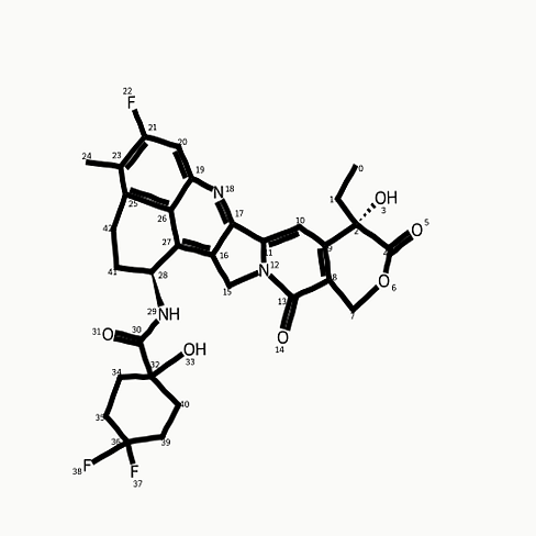 CC[C@@]1(O)C(=O)OCc2c1cc1n(c2=O)Cc2c-1nc1cc(F)c(C)c3c1c2[C@@H](NC(=O)C1(O)CCC(F)(F)CC1)CC3